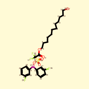 O=C(OCCCCCCCCCCCCBr)C(F)(F)S(=O)(=O)O[I+](c1cccc(F)c1)c1cccc(F)c1